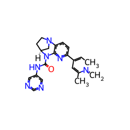 C=N/C(C)=C\C(=C/C)c1ccc2c(n1)N(C(=O)Nc1cncnc1)[C@H]1CCN2C1